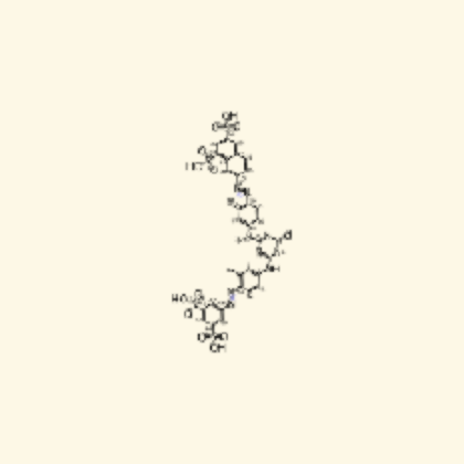 Cc1cc(Nc2nc(Cl)nc(N(C)c3ccc(/N=N/c4ccc5cc(S(=O)(=O)O)cc(S(=O)(=O)O)c5c4)c(C)c3)n2)ccc1/N=N/c1cc(S(=O)(=O)O)cc(S(=O)(=O)O)c1